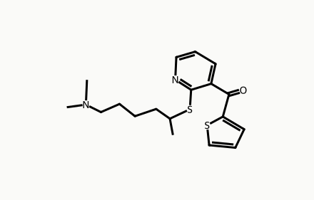 CC(CCCCN(C)C)Sc1ncccc1C(=O)c1cccs1